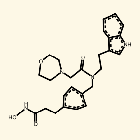 O=C(CCc1ccc(CN(CCc2c[nH]c3ccccc23)C(=O)CN2CCOCC2)cc1)NO